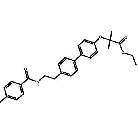 CCOC(=O)C(C)(C)Oc1ccc(-c2ccc(CCNC(=O)c3ccc(C)cc3)cc2)cc1